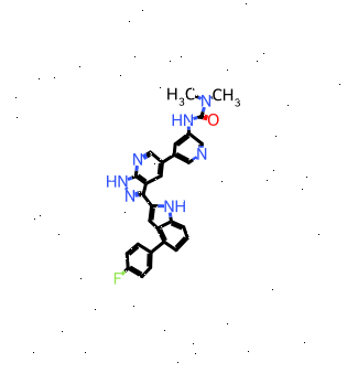 CN(C)C(=O)Nc1cncc(-c2cnc3[nH]nc(-c4cc5c(-c6ccc(F)cc6)cccc5[nH]4)c3c2)c1